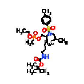 CCOP(C)(=O)OC[C@H](CCCCNC(=O)OC(C)(C)C)N(CC(C)C)S(=O)(=O)c1ccc(C)cc1